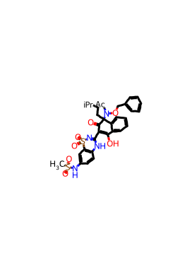 CC(=O)N(OCc1ccccc1)C1(CCC(C)C)C(=O)C(C2=NS(=O)(=O)c3cc(NS(C)(=O)=O)ccc3N2)=C(O)c2ccccc21